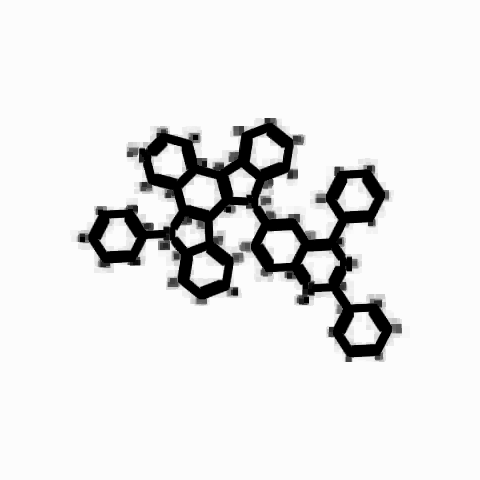 c1ccc(-c2nc(-c3ccccc3)c3cc(-n4c5ccccc5c5c6ccncc6c6c(c7ccccc7n6-c6ccccc6)c54)ccc3n2)cc1